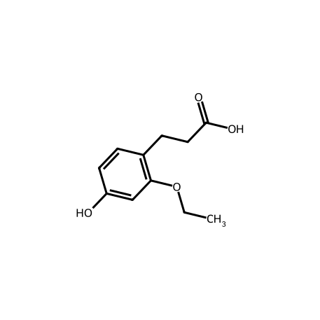 CCOc1cc(O)ccc1CCC(=O)O